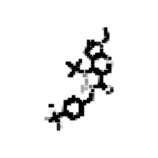 CCn1ncc2c(NC(C)(C)C)c(C(=O)NCc3ccc(C(F)(F)F)cc3)cnc21